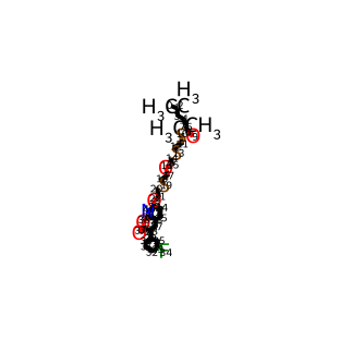 CC(C)CCC(C)(C)C(=O)SCCSCCOCCSCCOc1ccc2cc(-c3cccc(F)c3)c(=O)oc2n1